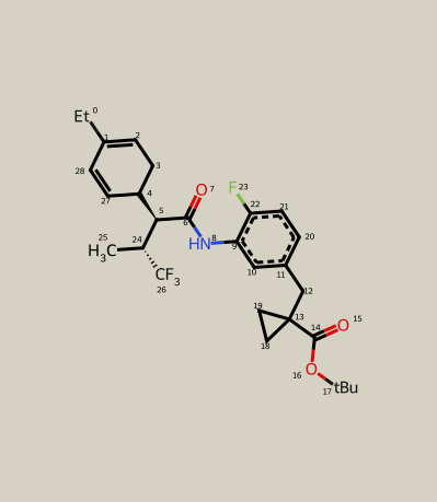 CCC1=CCC([C@@H](C(=O)Nc2cc(CC3(C(=O)OC(C)(C)C)CC3)ccc2F)[C@@H](C)C(F)(F)F)C=C1